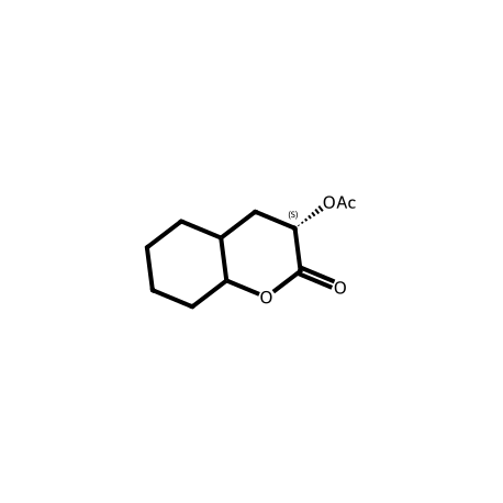 CC(=O)O[C@H]1CC2CCCCC2OC1=O